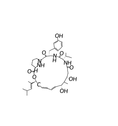 C/C(=C\C(C)C)[C@@H]1C/C=C/C=C/[C@@H](O)C(C)[C@@H](O)CC(=O)N[C@@H](C(C)C)C(=O)N[C@@H](Cc2cccc(O)c2)C(=O)N2CCC[C@H](N2)C(=O)O1